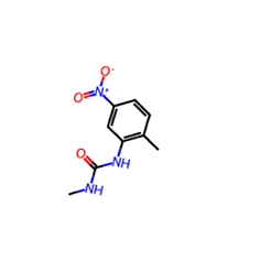 CNC(=O)Nc1cc([N+](=O)[O-])ccc1C